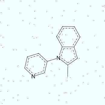 Cc1[c]c2ccccc2n1-c1cccnc1